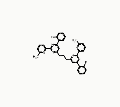 Cc1cccc(-c2nc(CCCc3cc(-c4ccccc4F)nc(-c4cccc(C)n4)n3)cc(-c3ccccc3F)n2)n1